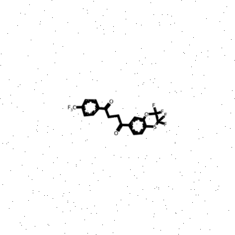 O=C(CCC(=O)c1ccc2c(c1)OC(F)(F)C(F)(F)S2)c1ccc(C(F)(F)F)cc1